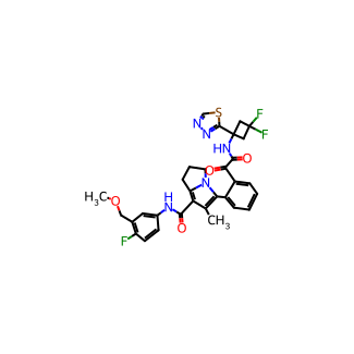 COCc1cc(NC(=O)c2c(C)c(-c3ccccc3C(=O)C(=O)NC3(c4nncs4)CC(F)(F)C3)n3c2CCC3)ccc1F